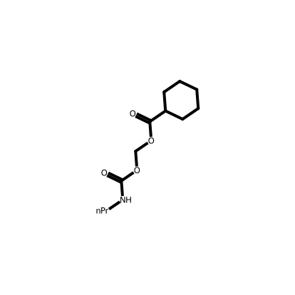 [CH2]CCNC(=O)OCOC(=O)C1CCCCC1